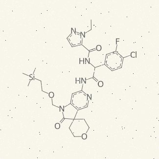 CCn1nccc1C(=O)NC(C(=O)Nc1cc2c(cn1)C1(CCOCC1)C(=O)N2COCC[Si](C)(C)C)c1ccc(Cl)c(F)c1